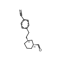 N#Cc1ccc(CC[C@@H]2CCC[C@H](C=O)C2)cc1